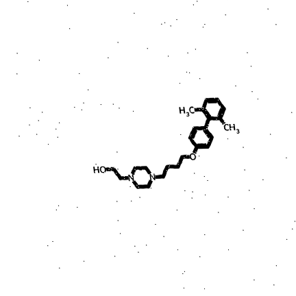 Cc1cccc(C)c1-c1ccc(OCCCCN2CCN(CCO)CC2)cc1